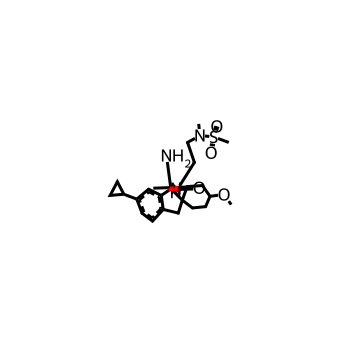 COC1CCC2(CC1)Cc1ccc(C3CC3)cc1C21N=C(N)N(CCN(C)S(C)(=O)=O)C1=O